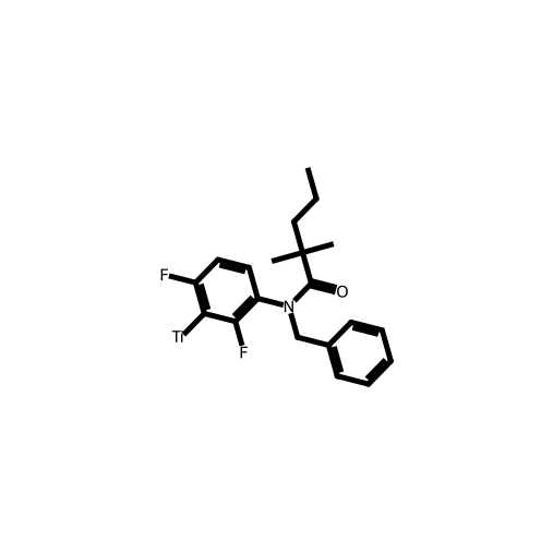 CCCC(C)(C)C(=O)N(Cc1ccccc1)c1ccc(F)[c]([Ti])c1F